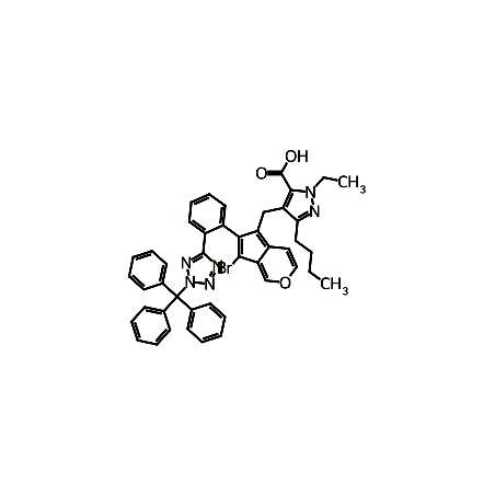 CCCCc1nn(CC)c(C(=O)O)c1Cc1c2ccocc-2c(Br)c1-c1ccccc1-c1nnn(C(c2ccccc2)(c2ccccc2)c2ccccc2)n1